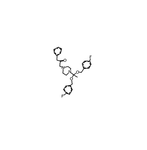 CC(OCc1ccc(F)cc1)(OCc1ccc(F)cc1)N1CCN(CC(=O)Cc2ccccc2)CC1